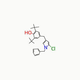 CC(C)(C)c1cc(Cc2cc(Cl)n(Cc3ccccc3)c2)cc(C(C)(C)C)c1O